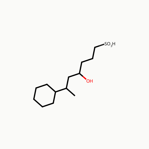 CC(CC(O)CCCS(=O)(=O)O)C1CCCCC1